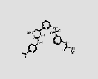 CCCNC(=O)Nc1cccc(S(=O)(=O)Nc2cccc(C(CC=O)NC(=O)Nc3ccc(NI)cc3)c2)c1